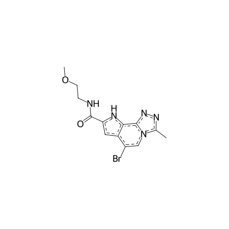 COCCNC(=O)c1cc2c(Br)cn3c(C)nnc3c2[nH]1